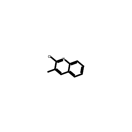 Cc1cc2cc[c]cc2nc1Cl